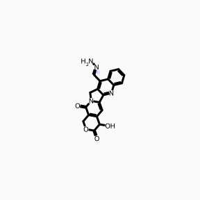 N/N=C/c1c2c(nc3ccccc13)-c1cc3c(c(=O)n1C2)COC(=O)C3O